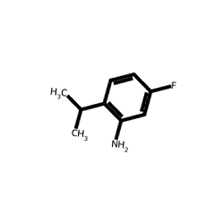 CC(C)c1ccc(F)cc1N